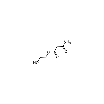 CC(=O)CC(=O)OCCO